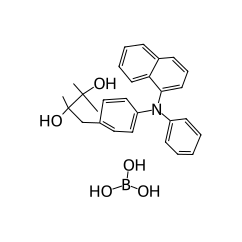 CC(C)(O)C(C)(O)Cc1ccc(N(c2ccccc2)c2cccc3ccccc23)cc1.OB(O)O